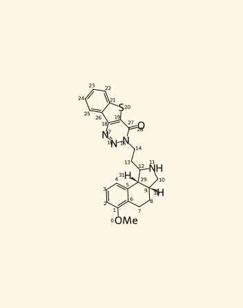 COc1cccc2c1CC[C@H]1CNC(CCn3nnc4c(sc5ccccc54)c3=O)[C@@H]21